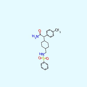 NC(=O)C(c1ccc(C(F)(F)F)cc1)C1CCC(CNS(=O)(=O)c2ccccc2)CC1